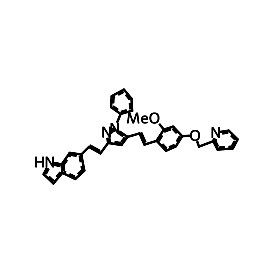 COc1cc(OCc2ccccn2)ccc1C=Cc1cc(C=Cc2ccc3cc[nH]c3c2)nn1-c1ccccc1